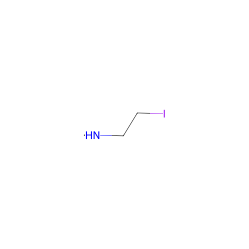 [NH]CCI